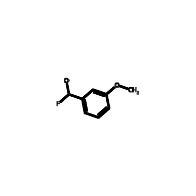 COc1cccc(C([O])F)c1